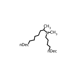 CCCCCCCCCCCCCCCC(C)N(C)CCCCCCCCCCCCCC